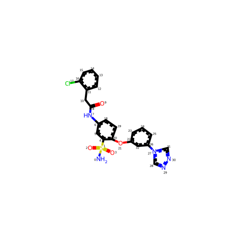 NS(=O)(=O)c1cc(NC(=O)Cc2ccccc2Cl)ccc1Oc1cccc(-n2cnnc2)c1